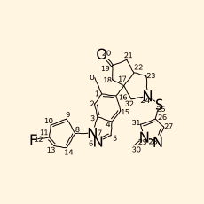 Cc1cc2c(cnn2-c2ccc(F)cc2)cc1C12CC(=O)CC1CN(Sc1cnn(C)c1)C2